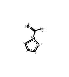 [NH]C(=N)n1cccn1